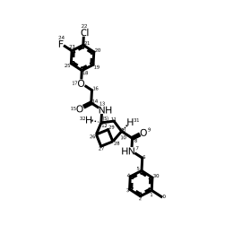 Cc1cccc(CNC(=O)[C@@H]2C[C@H](NC(=O)COc3ccc(Cl)c(F)c3)C3CC2C3)c1